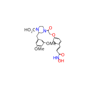 COc1cc(CC2CN(C(=O)COc3ccc(C=CC(=O)NO)cc3)CCN2C(=O)O)cc(OC)c1